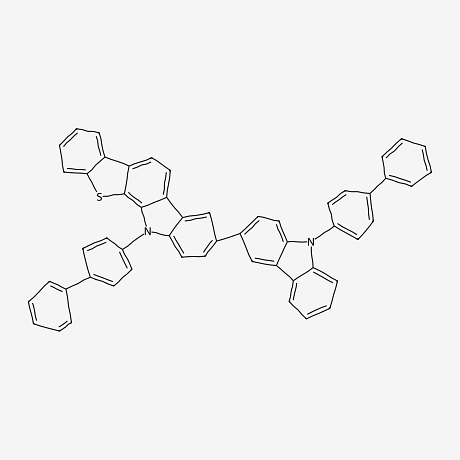 c1ccc(-c2ccc(-n3c4ccccc4c4cc(-c5ccc6c(c5)c5ccc7c8ccccc8sc7c5n6-c5ccc(-c6ccccc6)cc5)ccc43)cc2)cc1